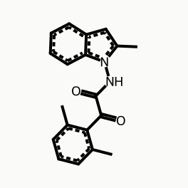 Cc1cccc(C)c1C(=O)C(=O)Nn1c(C)cc2ccccc21